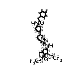 O=C(Cc1ccc(F)cc1)Nc1ccc(-c2ccc3nc(Nc4ccc(C(=O)NCC(F)(F)F)c(OCC(F)(F)F)c4)nn3c2)cc1